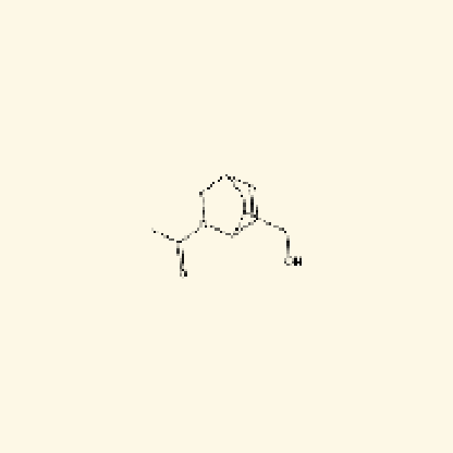 CC(=O)N1CC2C=CC1C(CO)C2